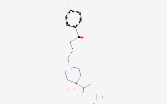 CCOC(=O)C(C)C1(O)CCN(CCCC(=O)c2ccc(F)cc2)CC1